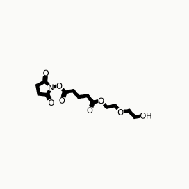 O=C(CCCC(=O)ON1C(=O)CCC1=O)OCCOCCO